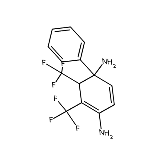 NC1=C(C(F)(F)F)C(C(F)(F)F)C(N)(c2ccccc2)C=C1